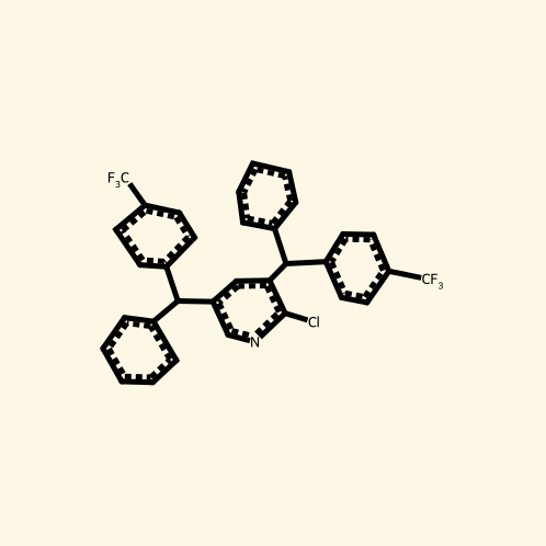 FC(F)(F)c1ccc(C(c2ccccc2)c2cnc(Cl)c(C(c3ccccc3)c3ccc(C(F)(F)F)cc3)c2)cc1